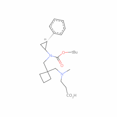 CN(CCC(=O)O)CC1(CN(C(=O)OC(C)(C)C)C2C[C@@H]2c2ccccc2)CCC1